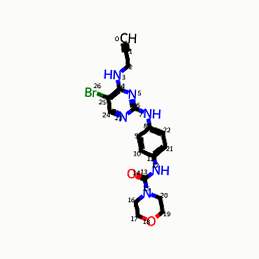 C#CCNc1nc(Nc2ccc(NC(=O)N3CCOCC3)cc2)ncc1Br